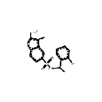 CCOC(=O)c1oc2ccc(S(=O)(=O)NC(C)c3ccccc3C(F)(F)F)cc2c1C